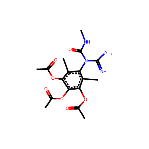 CNC(=O)N(C(=N)N)c1c(C)c(OC(C)=O)c(OC(C)=O)c(OC(C)=O)c1C